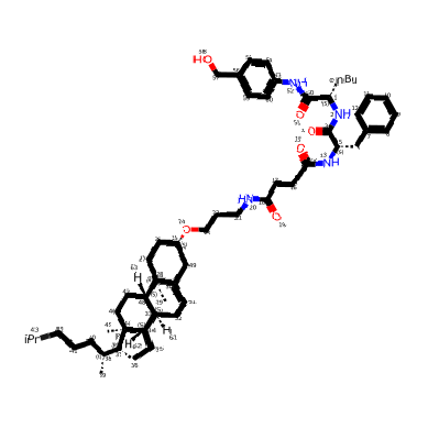 CCCC[C@H](NC(=O)[C@H](Cc1ccccc1)NC(=O)CCC(=O)NCCCO[C@H]1CC[C@@]2(C)C(=CC[C@H]3[C@@H]4CC[C@H]([C@H](C)CCCC(C)C)[C@@]4(C)CC[C@@H]32)C1)C(=O)Nc1ccc(CO)cc1